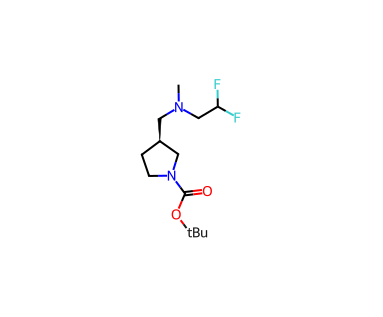 CN(CC(F)F)C[C@@H]1CCN(C(=O)OC(C)(C)C)C1